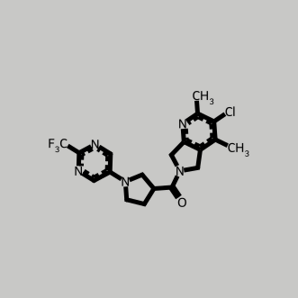 Cc1nc2c(c(C)c1Cl)CN(C(=O)C1CCN(c3cnc(C(F)(F)F)nc3)C1)C2